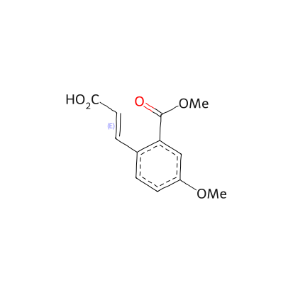 COC(=O)c1cc(OC)ccc1/C=C/C(=O)O